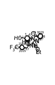 C#Cc1ccc(-n2c(C(C)(CCOCC)NC(=O)Cc3ccc(C(F)(F)F)cc3)nc3ccccc3c2=O)cc1